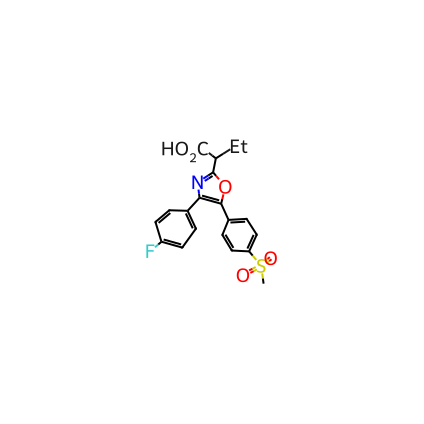 CCC(C(=O)O)c1nc(-c2ccc(F)cc2)c(-c2ccc(S(C)(=O)=O)cc2)o1